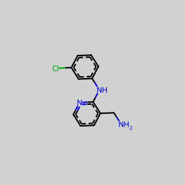 NCc1cccnc1Nc1cccc(Cl)c1